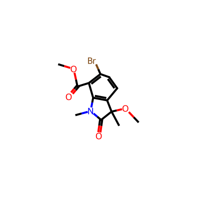 COC(=O)c1c(Br)ccc2c1N(C)C(=O)C2(C)OC